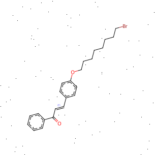 O=C(/C=C/c1ccc(OCCCCCCCCBr)cc1)c1ccccc1